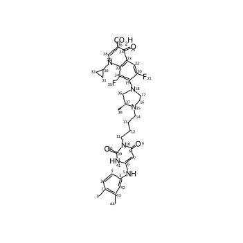 Cc1ccc(Nc2cc(=O)n(CCCCN3CCN(c4c(F)cc5c(=O)c(C(=O)O)cn(C6CC6)c5c4F)C[C@@H]3C)c(=O)[nH]2)cc1C